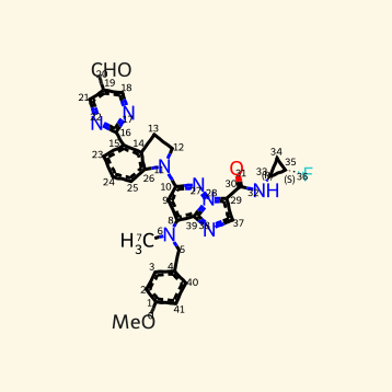 COc1ccc(CN(C)c2cc(N3CCc4c(-c5ncc(C=O)cn5)cccc43)nn3c(C(=O)N[C@@H]4C[C@@H]4F)cnc23)cc1